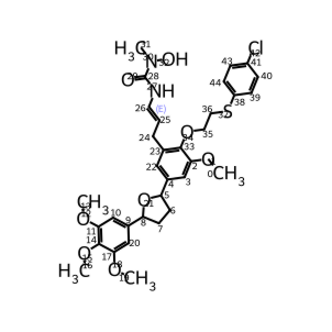 COc1cc(C2CCC(c3cc(OC)c(OC)c(OC)c3)O2)cc(C/C=C/NC(=O)N(C)O)c1OCCSc1ccc(Cl)cc1